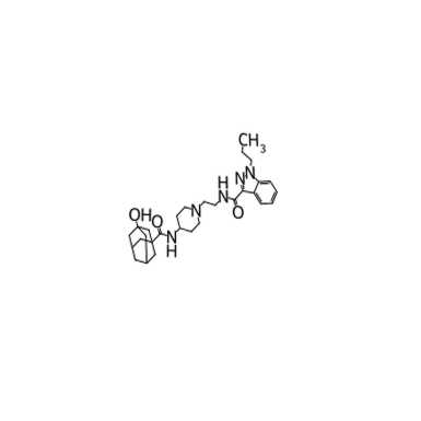 CCCn1nc(C(=O)NCCN2CCC(NC(=O)C34CC5CC(CC(O)(C5)C3)C4)CC2)c2ccccc21